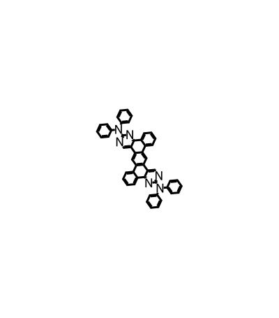 c1ccc(N(c2ccccc2)c2ncc3c4cc5c6ccccc6c6nc(N(c7ccccc7)c7ccccc7)ncc6c5cc4c4ccccc4c3n2)cc1